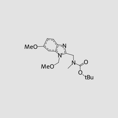 COCn1c(CN(C)C(=O)OC(C)(C)C)nc2ccc(OC)cc21